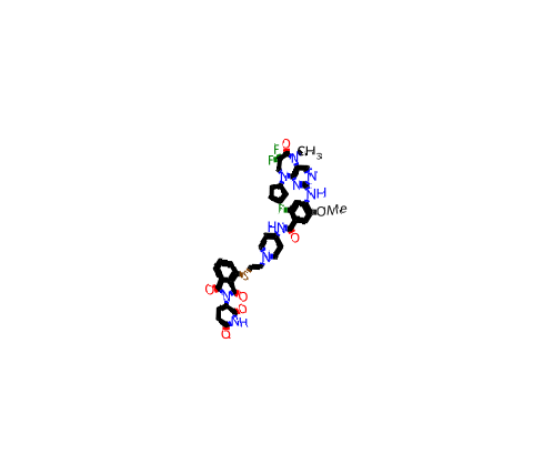 COc1cc(C(=O)NC2CCN(CCSc3cccc4c3C(=O)N(C3CCC(=O)NC3=O)C4=O)CC2)c(F)cc1Nc1ncc2c(n1)N(C1CCCC1)CC(F)(F)C(=O)N2C